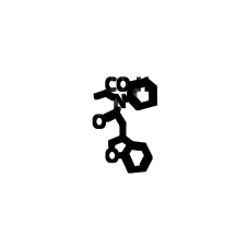 C[C@@H](C(=O)O)N(C(=O)CC1COc2ccccc21)c1ccccc1